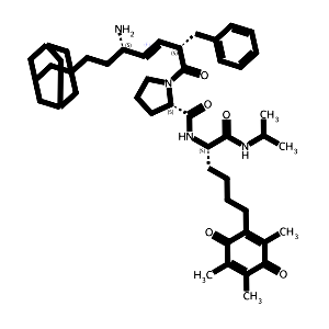 CC1=C(C)C(=O)C(CCCC[C@H](NC(=O)[C@@H]2CCCN2C(=O)[C@H](/C=C/[C@@H](N)CCC23CC4CC(CC(C4)C2)C3)Cc2ccccc2)C(=O)NC(C)C)=C(C)C1=O